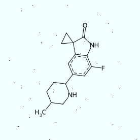 CC1CCC(c2cc(F)c3c(c2)C2(CC2)C(=O)N3)NC1